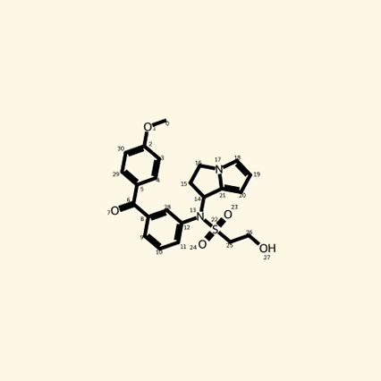 COc1ccc(C(=O)c2cccc(N(C3CCn4cccc43)S(=O)(=O)CCO)c2)cc1